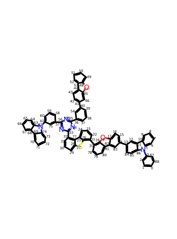 c1ccc(-n2c3ccccc3c3cc(-c4ccc5oc6c(-c7cccc8c7sc7cccc(-c9nc(-c%10cccc(-c%11ccc%12c(c%11)oc%11ccccc%11%12)c%10)nc(-c%10cccc(-n%11c%12ccccc%12c%12ccccc%12%11)c%10)n9)c78)cccc6c5c4)ccc32)cc1